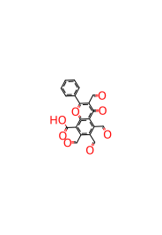 O=Cc1c(C=O)c(C=O)c2c(=O)c(C=O)c(-c3ccccc3)oc2c1C(=O)O